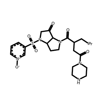 CC(C)CC(CC(=O)N1CCNCC1)C(=O)N1CCC2C1C(=O)CN2S(=O)(=O)c1ccc[n+]([O-])c1